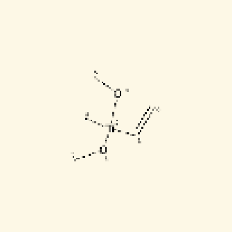 C=[CH][Ti]([CH3])([O]C)[O]C